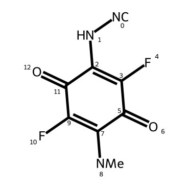 [C-]#[N+]NC1=C(F)C(=O)C(NC)=C(F)C1=O